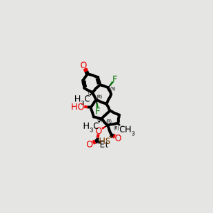 CCC(=O)O[C@]1(C(=O)S)[C@H](C)CC2C3C[C@H](F)C4=CC(=O)C=C[C@]4(C)[C@@]3(F)C(O)C[C@@]21C